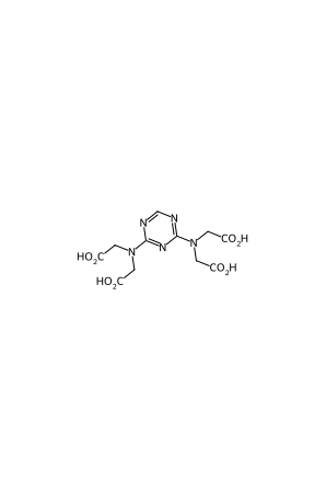 O=C(O)CN(CC(=O)O)c1ncnc(N(CC(=O)O)CC(=O)O)n1